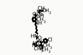 Cc1nc(NC(=O)c2cccc(NCCCCCCNC(=O)C[C@@H]3N=C(c4ccc(Cl)cc4)c4c(sc(C)c4C)-n4c(C)nnc43)c2C)sc1C